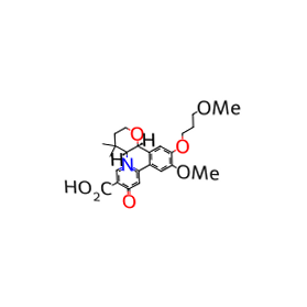 COCCCOc1cc2c(cc1OC)-c1cc(=O)c(C(=O)O)cn1[C@H]1[C@@H]2OCCC1(C)C